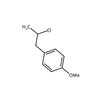 COc1ccc(CC(C)Cl)cc1